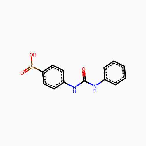 O=C(Nc1ccccc1)Nc1ccc(S(=O)O)cc1